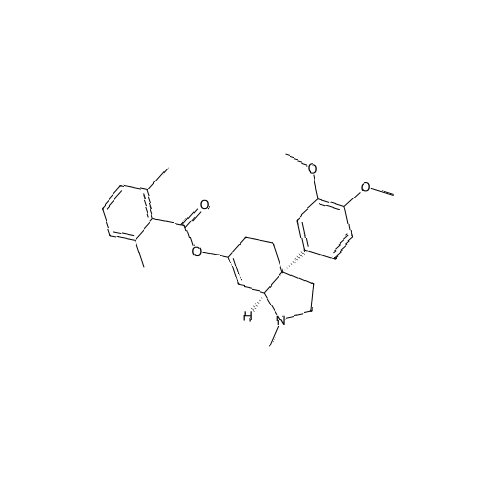 COc1ccc([C@@]23CCC(OC(=O)c4c(C)cccc4C)=C[C@@H]2N(C)CC3)cc1OC